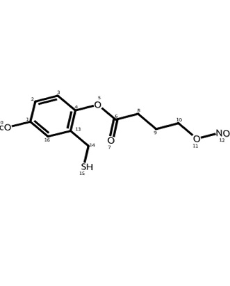 CC(=O)Oc1ccc(OC(=O)CCCO[N+](=O)[O-])c(CS)c1